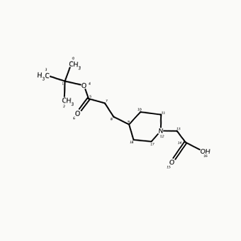 CC(C)(C)OC(=O)CCC1CCN(CC(=O)O)CC1